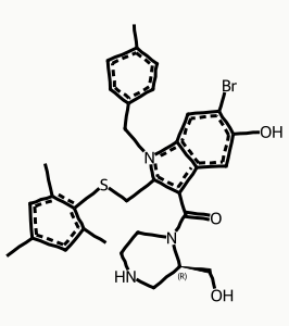 Cc1ccc(Cn2c(CSc3c(C)cc(C)cc3C)c(C(=O)N3CCNC[C@@H]3CO)c3cc(O)c(Br)cc32)cc1